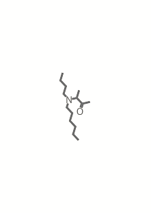 CCCCCCN(CCCC)C(C)C(C)=O